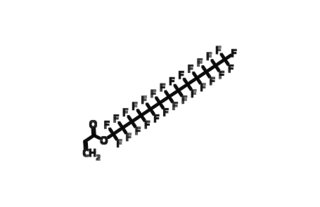 C=CC(=O)OC(F)(F)C(F)(F)C(F)(F)C(F)(F)C(F)(F)C(F)(F)C(F)(F)C(F)(F)C(F)(F)C(F)(F)C(F)(F)C(F)(F)C(F)(F)F